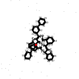 c1ccc(-c2cccc(-c3nc(-c4ccccc4-c4nc(-c5cccc(-c6ccccc6)c5)c5sc6ccccc6c5n4)c4sc5ccccc5c4n3)c2)cc1